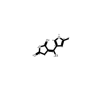 CCC(=C1CC(=O)OC1=O)c1coc(C)c1